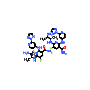 C[C@H](N)[C@@H](C)Nc1nc(Nc2ccnc(-n3nccn3)c2)c(C(N)=O)cc1F.C[C@H](Nc1nc(Nc2ccnc(-n3nccn3)c2)c(C(N)=O)cc1F)[C@@H](C)N